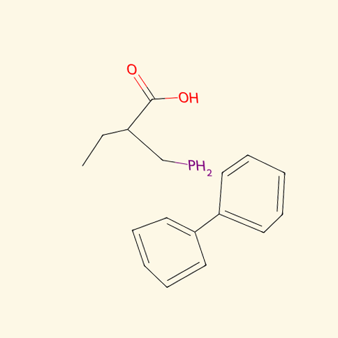 CCC(CP)C(=O)O.c1ccc(-c2ccccc2)cc1